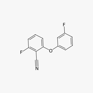 N#Cc1c(F)cccc1Oc1cccc(F)c1